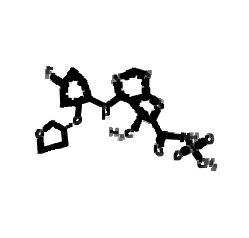 Cc1c(C(=O)NS(C)(=O)=O)sc2ncnc(Nc3ccc(F)cc3O[C@@H]3CCOC3)c12